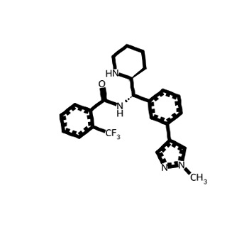 Cn1cc(-c2cccc([C@H](NC(=O)c3ccccc3C(F)(F)F)[C@@H]3CCCCN3)c2)cn1